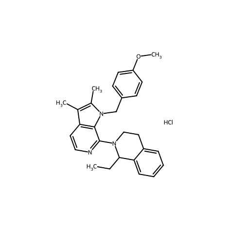 CCC1c2ccccc2CCN1c1nccc2c(C)c(C)n(Cc3ccc(OC)cc3)c12.Cl